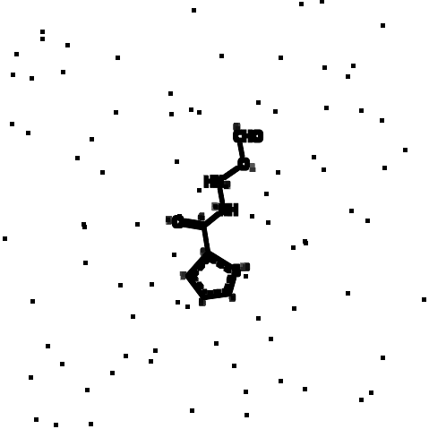 O=CONNC(=O)c1cccs1